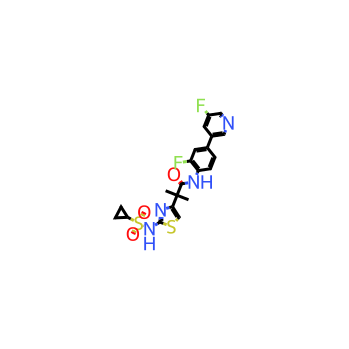 CC(C)(C(=O)Nc1ccc(-c2cncc(F)c2)cc1F)c1csc(NS(=O)(=O)C2CC2)n1